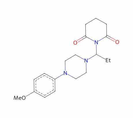 CCC(N1CCN(c2ccc(OC)cc2)CC1)N1C(=O)CCCC1=O